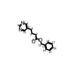 O=C(CCCc1cncnc1)OCc1ccccc1